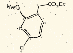 CCOC(=O)Cc1ccc(Cl)nc1OC